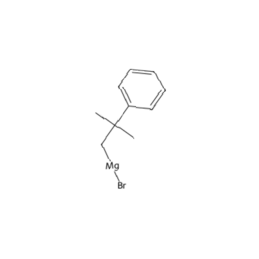 CC(C)([CH2][Mg][Br])c1ccccc1